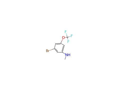 CNc1cc(Br)cc(OC(F)(F)F)c1